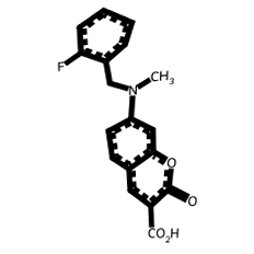 CN(Cc1ccccc1F)c1ccc2cc(C(=O)O)c(=O)oc2c1